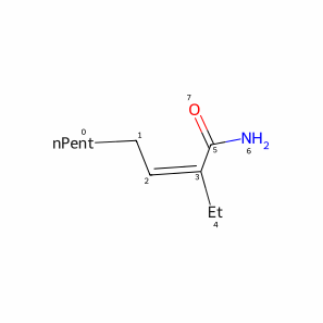 CCCCCCC=C(CC)C(N)=O